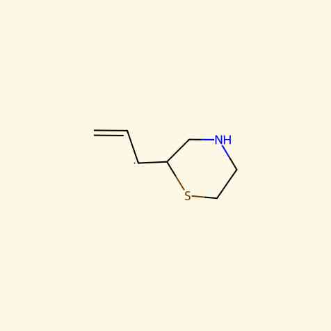 C=C[CH]C1CNCCS1